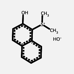 C[S+](C)c1c(O)ccc2ccccc12.[OH-]